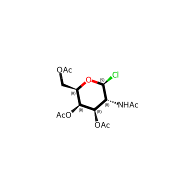 CC(=O)N[C@@H]1[C@@H](OC(C)=O)[C@@H](OC(C)=O)[C@@H](COC(C)=O)O[C@H]1Cl